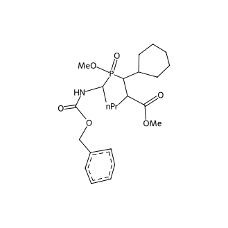 CCCC(C(=O)OC)C(C1CCCCC1)P(=O)(OC)C(C)NC(=O)OCc1ccccc1